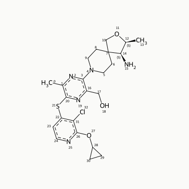 Cc1nc(N2CCC3(CC2)CO[C@@H](C)[C@H]3N)c(CO)nc1Sc1ccnc(OC2CC2)c1Cl